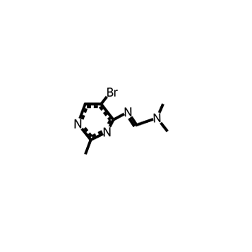 Cc1ncc(Br)c(/N=C/N(C)C)n1